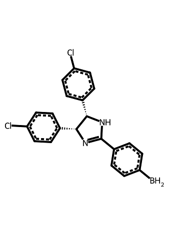 Bc1ccc(C2=N[C@H](c3ccc(Cl)cc3)[C@H](c3ccc(Cl)cc3)N2)cc1